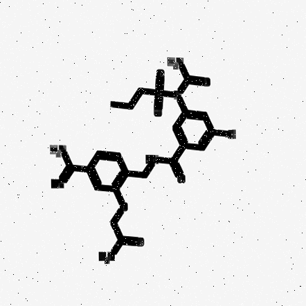 CCCS(=O)(=O)N(C(N)=O)c1cc(Cl)cc(C(=O)NCc2ccc(C(=N)N)cc2OCC(N)=O)c1